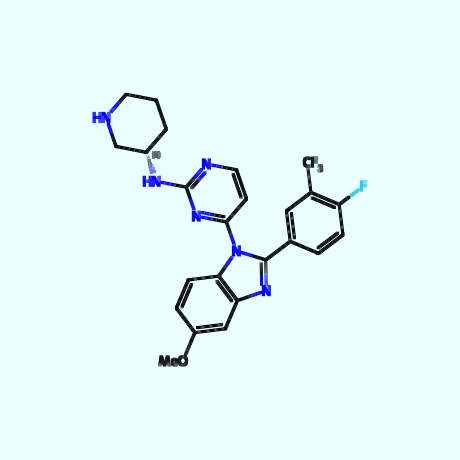 COc1ccc2c(c1)nc(-c1ccc(F)c(C(F)(F)F)c1)n2-c1ccnc(N[C@H]2CCCNC2)n1